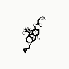 CCC(=O)C(C)C12CCN(CC3CC3)C(Cc3ccc(OC(=O)CC(C)(C)C)c(C)c31)C2C